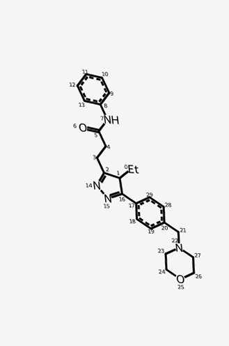 CCC1C(CCC(=O)Nc2ccccc2)=NN=C1c1ccc(CN2CCOCC2)cc1